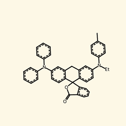 CCN(c1ccc(C)cc1)c1ccc2c(c1)Cc1cc(N(c3ccccc3)c3ccccc3)ccc1C21OC(=O)c2ccccc21